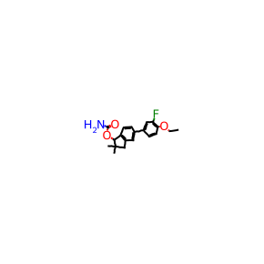 CCOc1ccc(-c2ccc3c(c2)CC(C)(C)C3OC(N)=O)cc1F